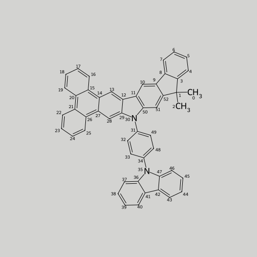 CC1(C)c2ccccc2-c2cc3c4cc5c6ccccc6c6ccccc6c5cc4n(-c4ccc(-n5c6ccccc6c6ccccc65)cc4)c3cc21